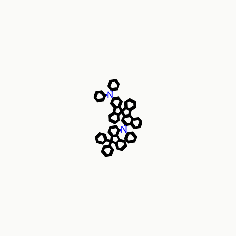 c1ccc(N(c2ccccc2)c2ccc3c(c2)-c2ccccc2C32c3ccccc3-c3c2cc(N(c2ccccc2)c2cccc4c2-c2ccccc2C4(c2ccccc2)c2ccccc2)c2ccccc32)cc1